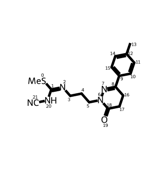 CSC(=NCCCN1N=C(c2ccc(C)cc2)CCC1=O)NC#N